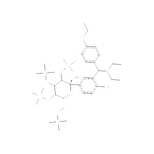 CCOc1ccc(C(c2cc([C@]3(O)O[C@H](CO[Si](C)(C)C)C(O[Si](C)(C)C)C(O[Si](C)(C)C)C3O[Si](C)(C)C)ccc2Cl)N(CC)CC)cc1